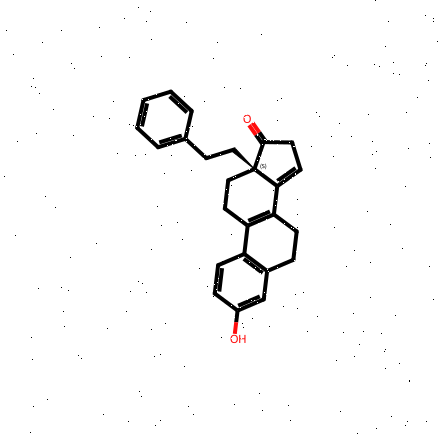 O=C1CC=C2C3=C(CC[C@]12CCc1ccccc1)c1ccc(O)cc1CC3